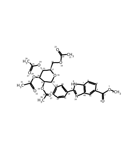 COC(=O)c1ccc2[nH]c(-c3cccc([C@H]4O[C@H](COC(C)=O)[C@@H](OC(C)=O)[C@H](OC(C)=O)[C@@H]4OC(C)=O)c3)nc2c1